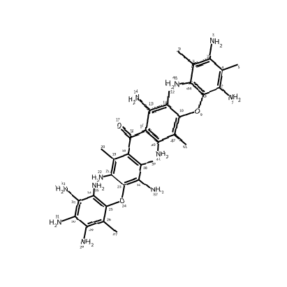 Cc1c(N)c(C)c(N)c(Oc2c(C)c(N)c(C(=O)c3c(C)c(N)c(Oc4c(C)c(N)c(N)c(N)c4N)c(N)c3C)c(N)c2C)c1N